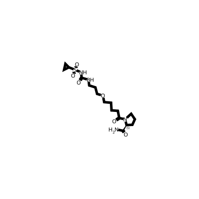 NC(=O)[C@@H]1CCCN1C(=O)CCCCOCCCBC(=O)NS(=O)(=O)C1CC1